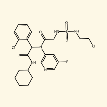 O=C(NC1CCCCC1)C(c1ccccc1Cl)N(C(=O)CNS(=O)(=O)NCCCl)c1cncc(F)c1